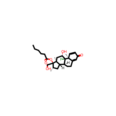 CCCCCC(=O)O[C@]1(C(=O)O)[C@@H](C)C[C@H]2[C@@H]3CCC4=CC(=O)C=C[C@]4(C)[C@@]3(F)[C@@H](O)C[C@@]21C